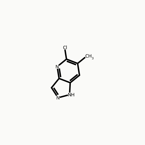 Cc1cc2[nH]ncc2nc1Cl